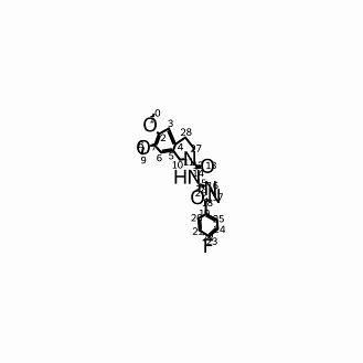 COc1cc2c(cc1OC)CN(C(=O)Nc1nnc(-c3ccc(F)cc3)o1)CC2